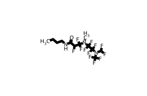 CCCCNC(=O)C(F)C(F)(F)N(C)C(F)(F)C(F)(F)N(C(F)F)C(F)(F)F